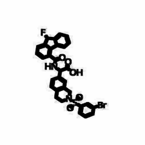 O=C(NC(C(=O)O)c1ccc2c(c1)CN(S(=O)(=O)c1cccc(Br)c1)CC2)c1cccc2c1-c1ccccc1C2F